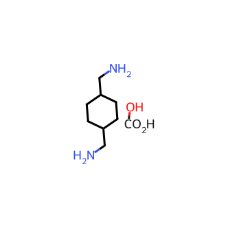 NCC1CCC(CN)CC1.O=C(O)O